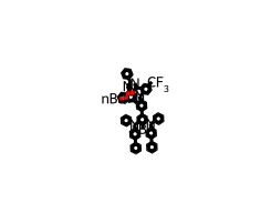 CCCCc1ccc2c(c1)c1cc(-c3cc4c5c(c3)N(c3ccccc3)c3ccc(-c6ccccc6)cc3B5c3cc(-c5ccccc5)ccc3N4c3ccccc3)ccc1n2-c1ccc(C(F)(F)F)cc1-c1nc(-c2ccccc2)nc(-c2ccccc2)n1